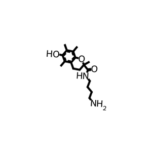 Cc1c(C)c2c(c(C)c1O)CCC(C)(C(=O)NCCCCN)O2